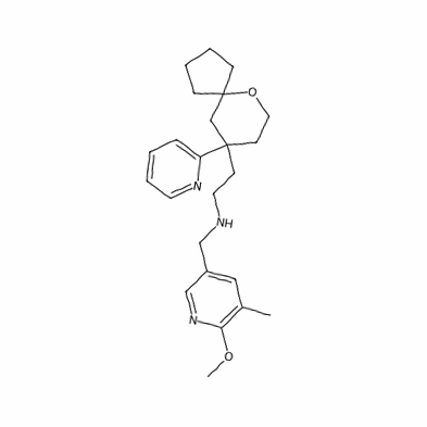 COc1ncc(CNCCC2(c3ccccn3)CCOC3(CCCC3)C2)cc1C